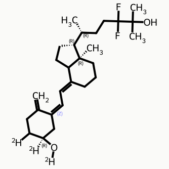 [2H]O[C@]1([2H])C/C(=C/C=C2CCC[C@@]3(C)C2CC[C@@H]3[C@H](C)CCC(F)(F)C(C)(C)O)C(=C)CC1[2H]